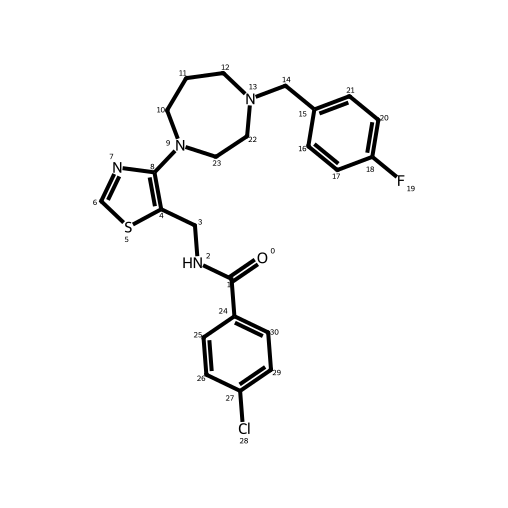 O=C(NCc1scnc1N1CCCN(Cc2ccc(F)cc2)CC1)c1ccc(Cl)cc1